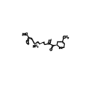 C[C@H]1CC=N[C@@H](C(=O)NCCCC[C@H](N)CC(=O)O)C1